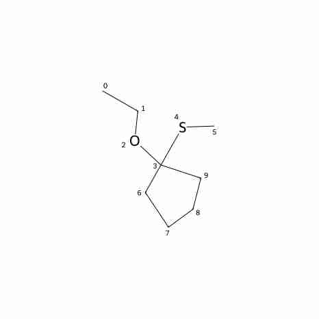 CCOC1(SC)CCCC1